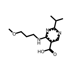 COCCCNc1nc(C(C)C)ncc1C(=O)O